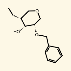 CC[C@@H]1COC[C@H](OCc2ccccc2)[C@@H]1O